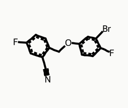 N#Cc1cc(F)ccc1COc1ccc(F)c(Br)c1